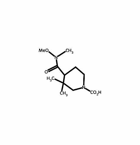 CON(C)C(=O)C1CCN(C(=O)O)CC1(C)C